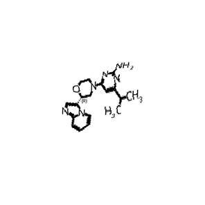 CC(C)c1cc(N2CCO[C@@H](c3cnc4ccccn34)C2)nc(N)n1